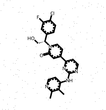 Cc1nccc(Nc2nccc(-c3ccn([C@H](CO)c4ccc(Cl)c(F)c4)c(=O)c3)n2)c1C